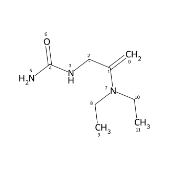 C=C([CH]NC(N)=O)N(CC)CC